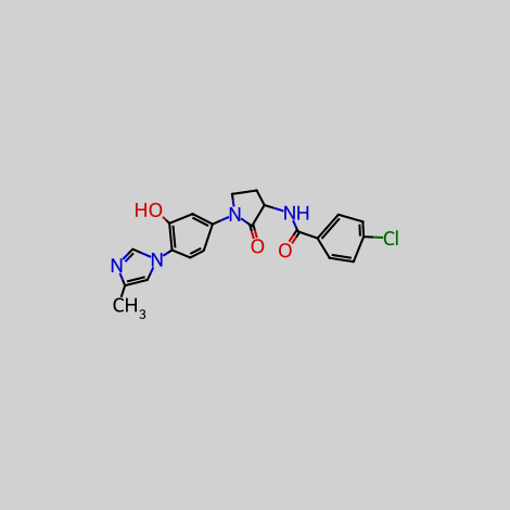 Cc1cn(-c2ccc(N3CCC(NC(=O)c4ccc(Cl)cc4)C3=O)cc2O)cn1